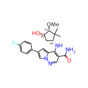 CO[C@@H]1[C@H](O)C[C@@H](Nc2c(C(N)=O)cnn3cc(-c4ccc(F)cc4)cc23)C1(C)C